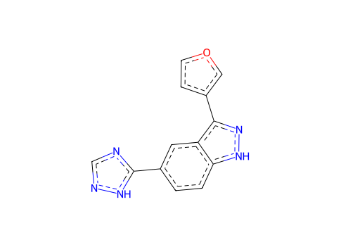 c1n[nH]c(-c2ccc3[nH]nc(-c4ccoc4)c3c2)n1